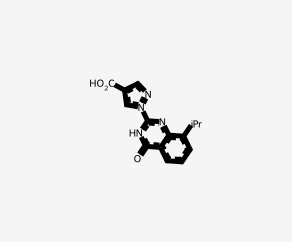 CC(C)c1cccc2c(=O)[nH]c(-n3cc(C(=O)O)cn3)nc12